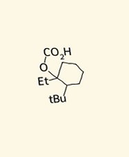 CCC1(OC(=O)O)CCCCC1C(C)(C)C